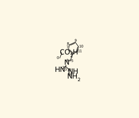 CC(=O)O.N=C(N=Cc1ccccc1)NN